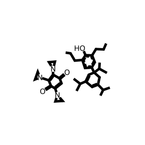 CCCc1cc(C2(C(C)C)C=C(C(C)C)C=C(C(C)C)C2)cc(CCC)c1O.O=C1C=C(N2CC2)C(=O)C(N2CC2)=C1N1CC1